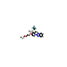 COCCCOc1cc[n+]2c(c1C)CSn1c-2nc2ccccc21.F[B-](F)(F)F